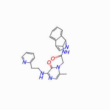 Cc1cnc(NCCc2ccccn2)c(=O)n1CC(=O)NC1C2=CN=C1c1ccccc12